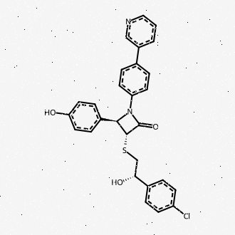 O=C1[C@H](SC[C@@H](O)c2ccc(Cl)cc2)[C@@H](c2ccc(O)cc2)N1c1ccc(-c2cccnc2)cc1